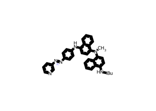 CCC(C)Nc1ccc(N(C)c2ccc(Nc3ccc(/N=N/c4cccnc4)cc3)c3ccccc23)c2ccccc12